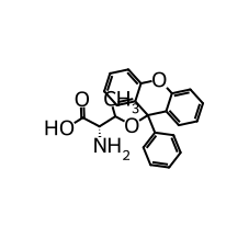 CC(OC1(c2ccccc2)c2ccccc2Oc2ccccc21)[C@H](N)C(=O)O